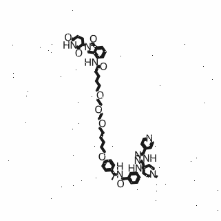 C[C@H](NC(=O)c1cccc(NC2(c3nnc(-c4ccncc4)[nH]3)CCN(C)CC2)c1)c1ccc(OCCCCCCOCCOCCOCCCCCC(=O)Nc2cccc3c2CN(C2CCC(=O)NC2=O)C3=O)cc1